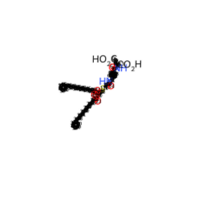 O=C(O)CCC(NC(=O)c1ccc(CNC(=O)CCSCC(COC(=O)CCCCCCCCCCCC2CCCCC2)OC(=O)CCCCCCCCCCCC2CCCCC2)cc1)C(=O)O